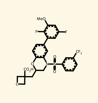 COc1cc(F)cc(-c2ccc3c(c2)N(S(=O)(=O)c2cccc(C(F)(F)F)c2)CC(CC2(C(=O)O)COC2)O3)c1F